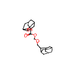 O=C(OCOCC1C2CC3CC(C2)CC1C3)C12CC3CC(C1)C(O)C(C3)C2